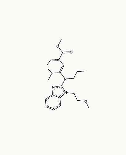 C/C=C(\C=C(/C(C)C)N(CCC)c1nc2ccccc2n1CCOC)C(=O)OC